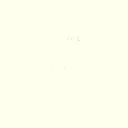 CCOC(=O)C1C(/C=C(\Cl)Sc2ccccc2)C1(C)C